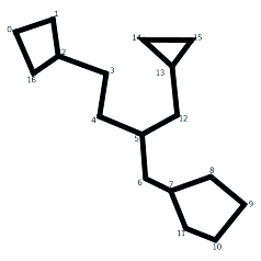 C1CC(CC[C](CC2CCCC2)CC2CC2)C1